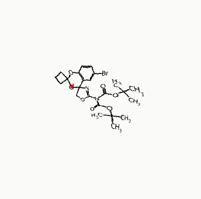 CC(C)(C)OC(=O)N(C(=O)OC(C)(C)C)C1=NC2(CO1)c1cc(Br)ccc1OC1(CCC1)C21COC1